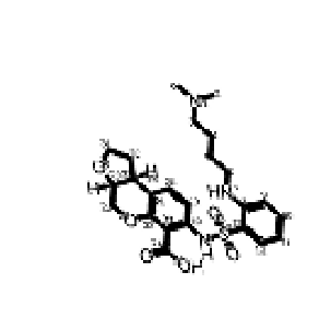 CN(C)CCCCNc1ccccc1S(=O)(=O)Nc1ccc2c(c1C(=O)O)OC[C@@H]1OCC[C@H]21